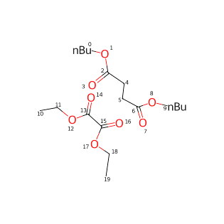 CCCCOC(=O)CCC(=O)OCCCC.CCOC(=O)C(=O)OCC